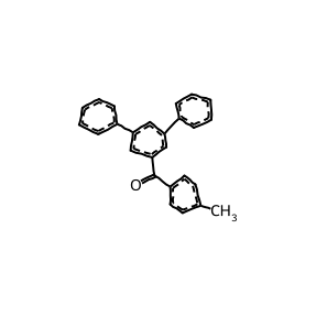 Cc1ccc(C(=O)c2cc(-c3ccccc3)cc(-c3ccccc3)c2)cc1